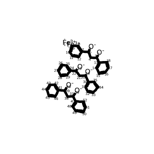 [Fe+3].[Fe+3].[O-]C(CC([O-])c1ccccc1)c1ccccc1.[O-]C(CC([O-])c1ccccc1)c1ccccc1.[O-]C(CC([O-])c1ccccc1)c1ccccc1